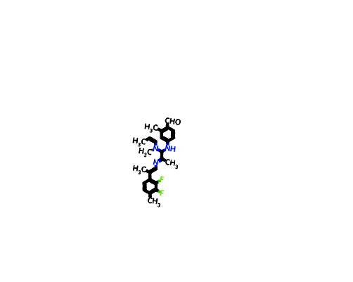 C/C=C\N(C)C(Nc1ccc(C=O)c(C)c1)/C(C)=N/C=C(\C)c1ccc(C)c(F)c1F